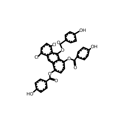 O=C(Oc1ccc(OC(=O)c2ccc(O)cc2)c2c(OC(=O)c3ccc(O)cc3)c3c(Cl)ccc(Cl)c3cc12)c1ccc(O)cc1